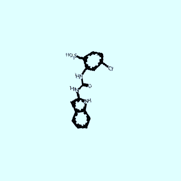 O=C(Nc1cc2ccccc2[nH]1)Nc1cc(Cl)ccc1S(=O)(=O)O